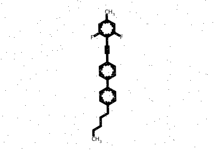 CCCCCc1ccc(-c2ccc(C#Cc3c(F)cc(C)cc3F)cc2)cc1